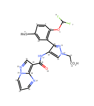 CSc1ccc(OC(F)F)c(-c2nn(CC(=O)O)cc2NC(=O)c2cnn3cccnc23)c1